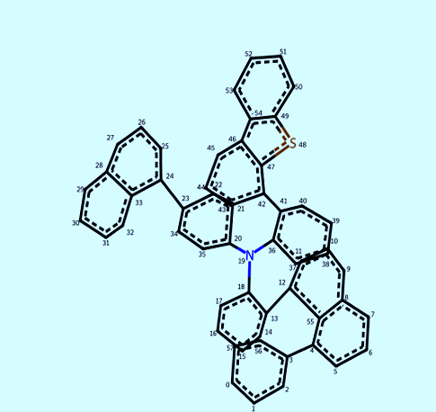 c1ccc(-c2cccc3cccc(-c4ccccc4N(c4ccc(-c5cccc6ccccc56)cc4)c4ccccc4-c4cccc5c4sc4ccccc45)c23)cc1